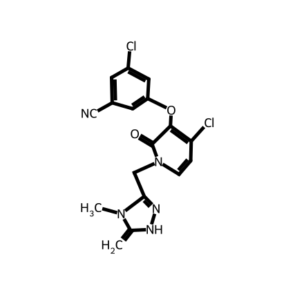 C=C1NN=C(Cn2ccc(Cl)c(Oc3cc(Cl)cc(C#N)c3)c2=O)N1C